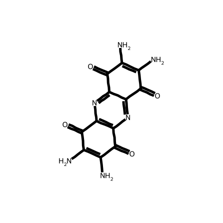 Nc1c(N)c(=O)c2nc3c(=O)c(N)c(N)c(=O)c3nc2c1=O